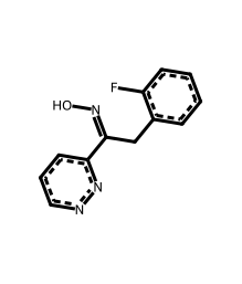 ON=C(Cc1ccccc1F)c1cccnn1